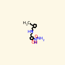 CCCc1ccccc1CCNCCc1ccc(O)c(NC(N)=O)c1